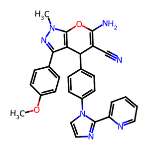 COc1ccc(-c2nn(C)c3c2C(c2ccc(-n4ccnc4-c4ccccn4)cc2)C(C#N)=C(N)O3)cc1